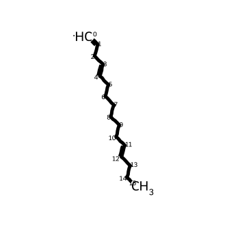 [CH]=CCC=CCCCCCCC=CCCC